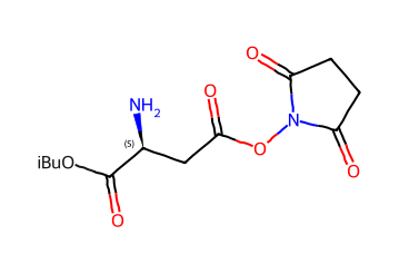 CC(C)COC(=O)[C@@H](N)CC(=O)ON1C(=O)CCC1=O